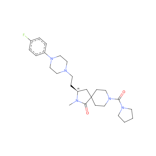 CN1C(=O)C2(CCN(C(=O)N3CCCC3)CC2)C[C@@H]1CCN1CCN(c2ccc(F)cc2)CC1